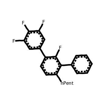 CCCCCc1ccc(-c2cc(F)c(F)c(F)c2)c(F)c1-c1ccccc1